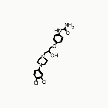 NC(=O)Nc1ccc(OCC(O)CN2CCN(c3ccc(Cl)c(Cl)c3)CC2)cc1